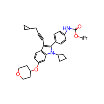 CC(C)OC(=O)Nc1ccc(-c2c(C#CCC3CC3)c3ccc(OC4CCOCC4)cc3n2C2CCC2)cc1